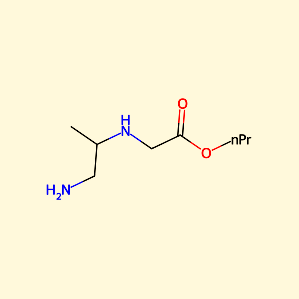 CCCOC(=O)CNC(C)CN